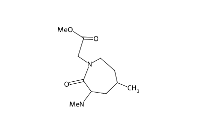 CNC1CC(C)CCN(CC(=O)OC)C1=O